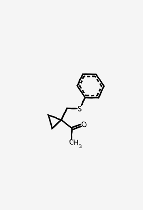 CC(=O)C1(CSc2ccccc2)CC1